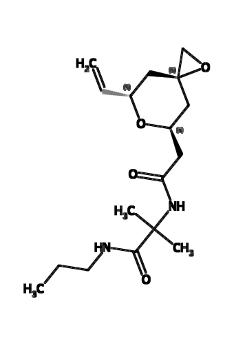 C=C[C@@H]1C[C@]2(CO2)C[C@@H](CC(=O)NC(C)(C)C(=O)NCCC)O1